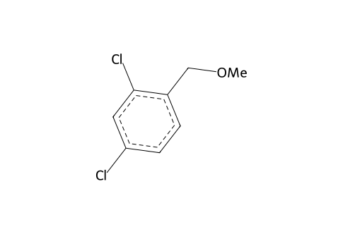 COCc1ccc(Cl)cc1Cl